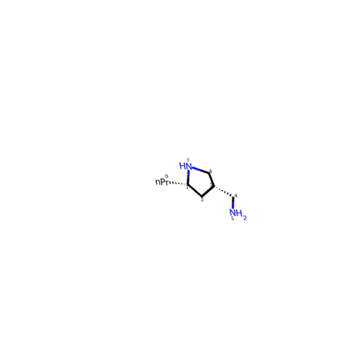 CCC[C@H]1C[C@@H](CN)CN1